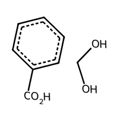 O=C(O)c1ccccc1.OCO